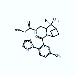 Cc1ccc(-n2nccn2)c(C(=O)N2C3CC(C3)[C@H](C)C2CNC(=O)OC(C)(C)C)n1